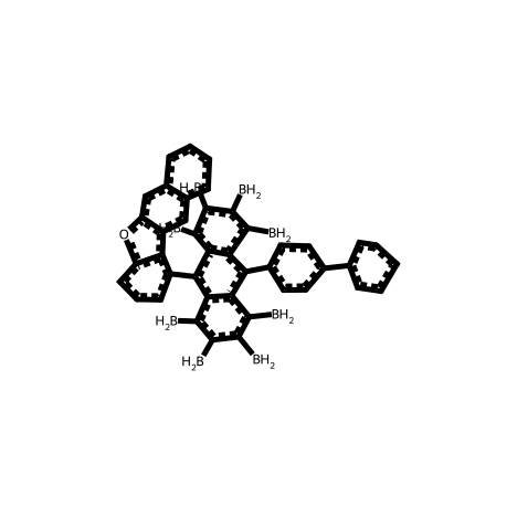 Bc1c(B)c(B)c2c(-c3cccc4oc5cc6ccccc6cc5c34)c3c(B)c(B)c(B)c(B)c3c(-c3ccc(-c4ccccc4)cc3)c2c1B